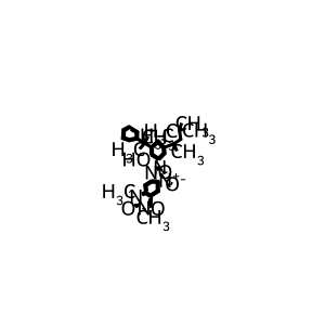 Cn1c(=O)c2cc([N+](=O)[O-])c(N=Nc3cc(C(C)(C)CC(C)(C)C)cc(C(C)(C)c4ccccc4)c3O)cc2n(C)c1=O